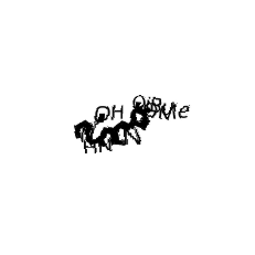 COc1ccc(-c2cc3cc(CN4CCC[C@@H]4CO)[nH]c3cn2)cc1OCC(C)C